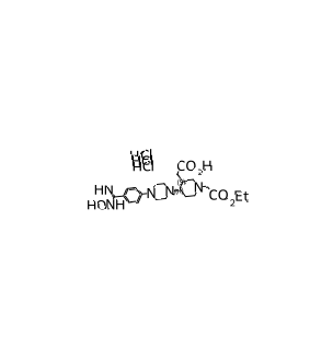 CCOC(=O)CN1CC[C@@H](N2CCN(c3ccc(C(=N)NO)cc3)CC2)[C@@H](CC(=O)O)C1.Cl.Cl.Cl